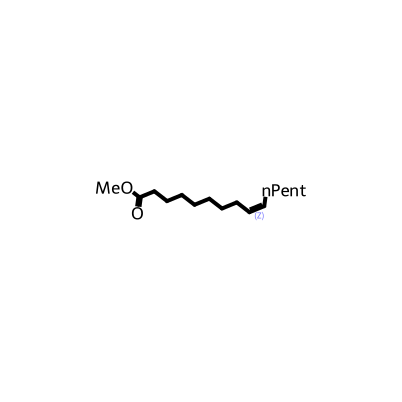 CCCCC/C=C\CCCCCCCC(=O)OC